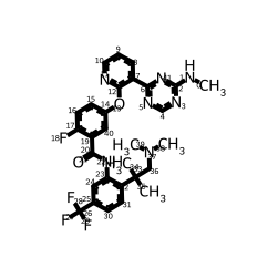 CNc1ncnc(-c2cccnc2Oc2ccc(F)c(C(=O)Nc3cc(C(F)(F)F)ccc3C(C)(C)CN(C)C)c2)n1